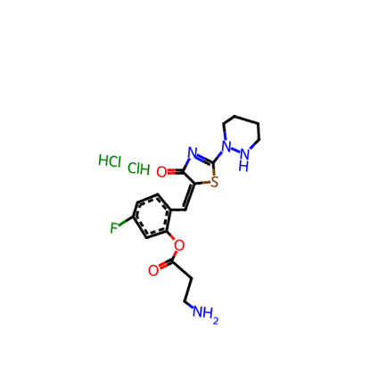 Cl.Cl.NCCC(=O)Oc1cc(F)ccc1/C=C1/SC(N2CCCCN2)=NC1=O